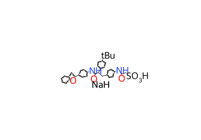 CC(C)(C)c1ccc(C(Cc2ccc(NC(=O)CS(=O)(=O)O)cc2)C(=O)Nc2ccc(-c3cc4ccccc4o3)cc2)cc1.[NaH]